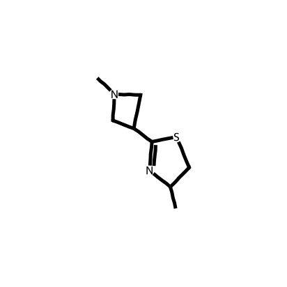 CC1CSC(C2CN(C)C2)=N1